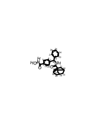 O=C(NO)c1ccc(C(NC(=O)C23CC4CC(CC(C4)C2)C3)c2ccccc2)cc1